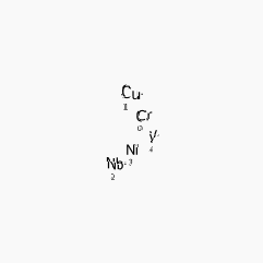 [Cr].[Cu].[Nb].[Ni].[V]